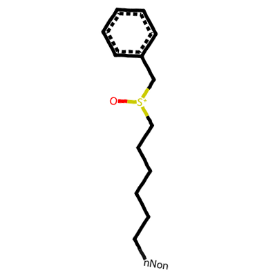 CCCCCCCCCCCCCCC[S+]([O-])Cc1ccccc1